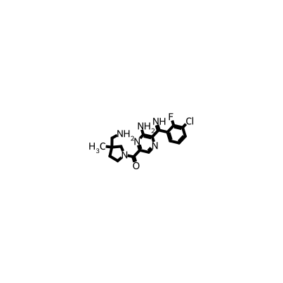 CC1(CN)CCN(C(=O)c2cnc(C(=N)c3cccc(Cl)c3F)c(N)n2)C1